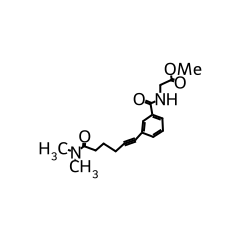 COC(=O)CNC(=O)c1cccc(C#CCCCC(=O)N(C)C)c1